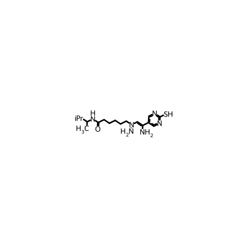 CC(C)C(C)NC(=O)CCCCCN(N)/C=C(\N)c1cnc(S)nc1